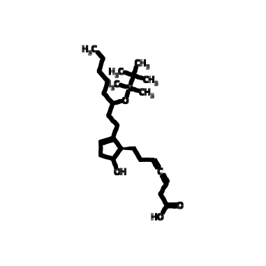 CCCCCC(CCC1=CCC(O)[C@@H]1CCC=C=CCC(=O)O)O[Si](C)(C)C(C)(C)C